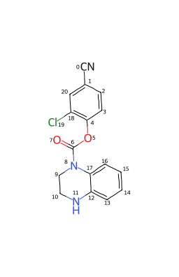 N#Cc1ccc(OC(=O)N2CCNc3ccccc32)c(Cl)c1